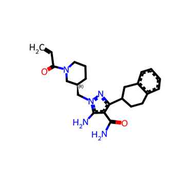 C=CC(=O)N1CCC[C@@H](Cn2nc(C3CCc4ccccc4C3)c(C(N)=O)c2N)C1